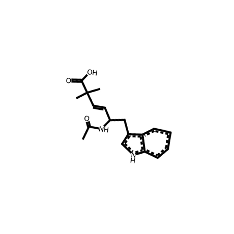 CC(=O)NC(/C=C/C(C)(C)C(=O)O)Cc1c[nH]c2ccccc12